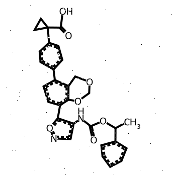 CC(OC(=O)Nc1cnoc1-c1ccc(-c2ccc(C3(C(=O)O)CC3)cc2)c2c1OCOC2)c1ccccc1